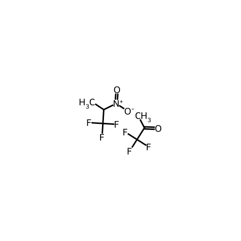 CC(=O)C(F)(F)F.CC([N+](=O)[O-])C(F)(F)F